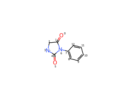 O=C1C[N]C(=O)N1c1ccccc1